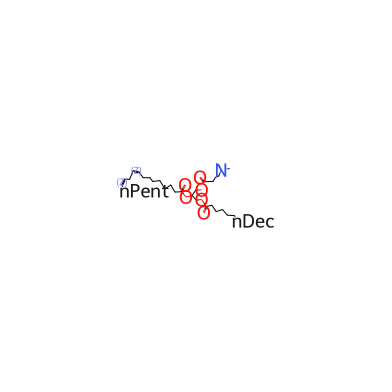 CCCCC/C=C\C/C=C\CCCCCCCC(=O)OC(COC(=O)CCCCCCCCCCCCCCC)COC(=O)CCCN(C)C